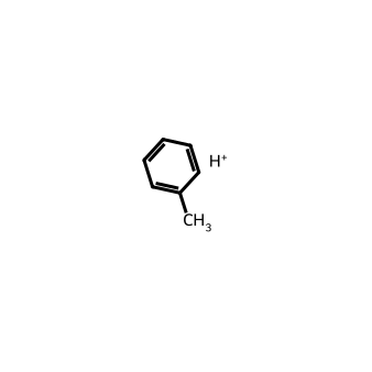 Cc1ccccc1.[H+]